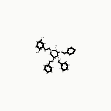 C[C@@H]1[C@@H](OCc2ccccc2)[C@H](OCc2ccccc2)[C@@H](OCc2ccccc2)CN1CCc1cc(F)ccc1F